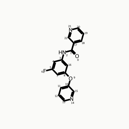 O=C(Nc1cc(F)cc(Oc2cccnc2)c1)c1cccnc1